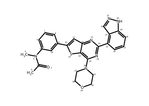 CC(=O)N(C)c1cccc(-c2cc3nc(-c4cccc5[nH]ncc45)nc(N4CCOCC4)c3s2)c1